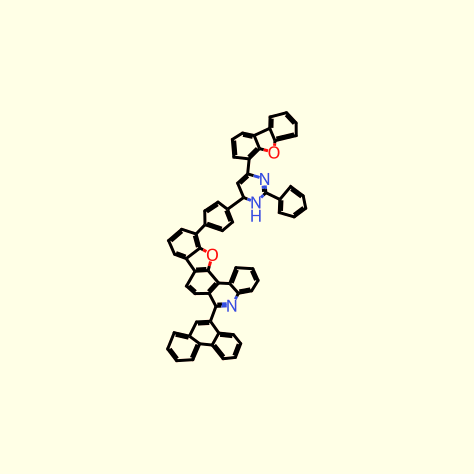 C1=C(c2cccc3c2oc2ccccc23)N=C(c2ccccc2)NC1c1ccc(-c2cccc3c2oc2c3ccc3c(-c4cc5ccccc5c5ccccc45)nc4ccccc4c32)cc1